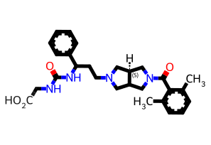 Cc1cccc(C)c1C(=O)N1CC2CN(CCC(NC(=O)NCC(=O)O)c3ccccc3)C[C@H]2C1